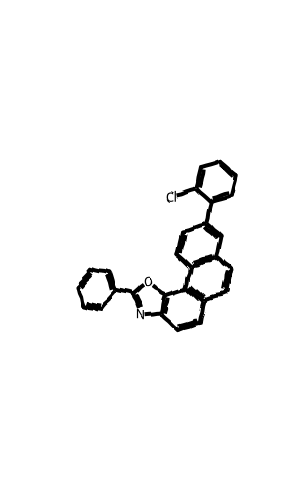 Clc1ccccc1-c1ccc2c(ccc3ccc4nc(-c5ccccc5)oc4c32)c1